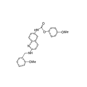 COc1ccc(OC(=O)Nc2ccc3nc(NCc4ccccc4OC)ccc3c2)cc1